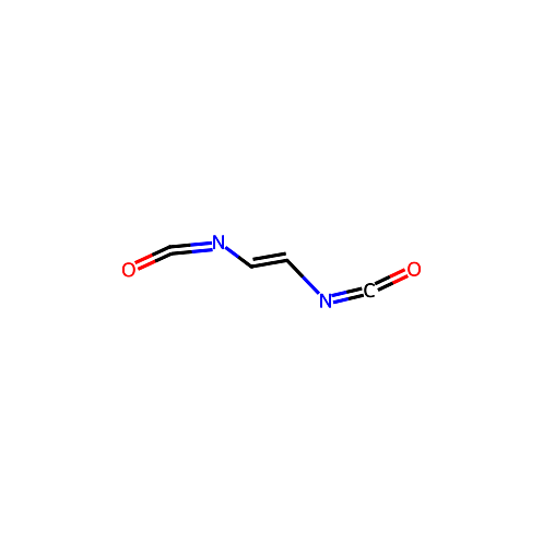 O=C=NC=CN=C=O